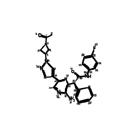 CC(=O)N1CC(n2cc(-c3cnc(N)c([C@H](C(=O)Nc4ccc(F)cc4)c4ccccc4)n3)cn2)C1